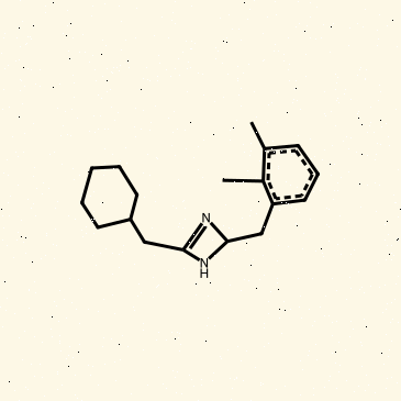 Cc1cccc(CC2N=C(CC3CCCCC3)N2)c1C